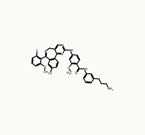 COc1cc(Nc2ncc3c(n2)-c2ccc(Cl)cc2C(c2c(F)cccc2OC)=NC3)ccc1C(=O)Nc1cccc(CCCN)c1